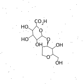 O=C(O)C1OC(O[C@@H]2CCOC(CO)C2O)C(O)C(O)C1O